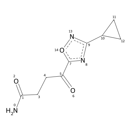 NC(=O)CCC(=O)c1nc(C2CC2)no1